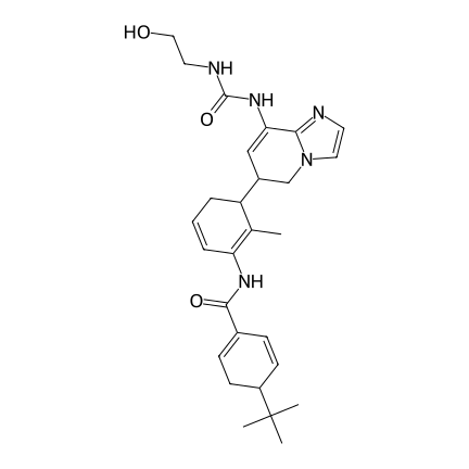 CC1=C(NC(=O)C2=CCC(C(C)(C)C)C=C2)C=CCC1C1C=C(NC(=O)NCCO)c2nccn2C1